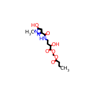 CCCC(=O)OCOC(=O)C(O)CCNC(=O)c1cc(O)n(C)n1